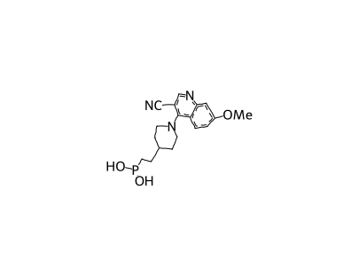 COc1ccc2c(N3CCC(CCP(O)O)CC3)c(C#N)cnc2c1